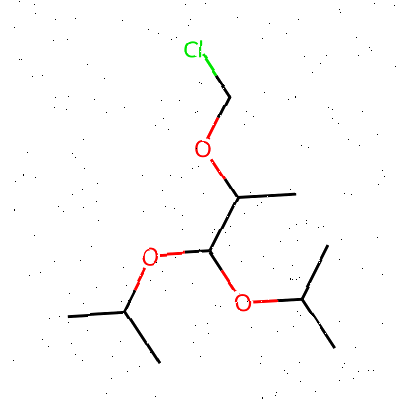 CC(C)OC(OC(C)C)C(C)OCCl